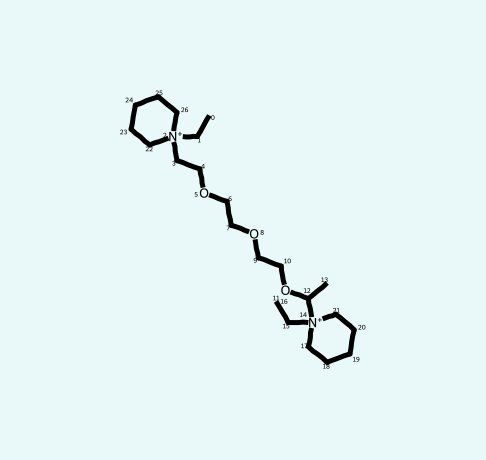 CC[N+]1(CCOCCOCCOC(C)[N+]2(CC)CCCCC2)CCCCC1